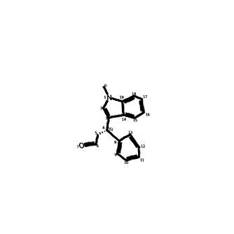 Cn1cc([C@@H](CC=O)c2ccccc2)c2ccccc21